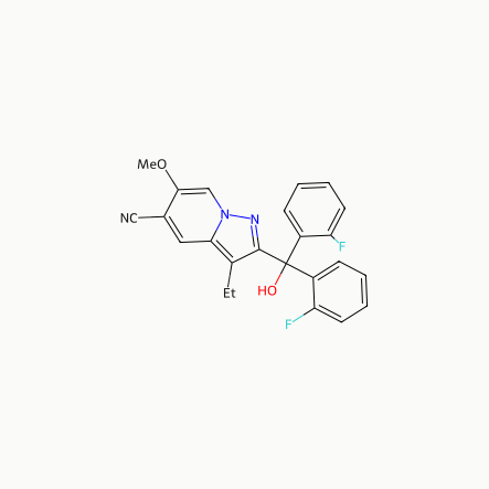 CCc1c(C(O)(c2ccccc2F)c2ccccc2F)nn2cc(OC)c(C#N)cc12